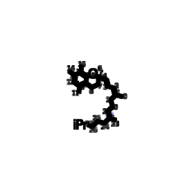 CC(=CC=C[C@@]1(C)CCc2c(C)[c]c(C)c(C)c2O1)CC/C=C(\C)CCCC(C)C